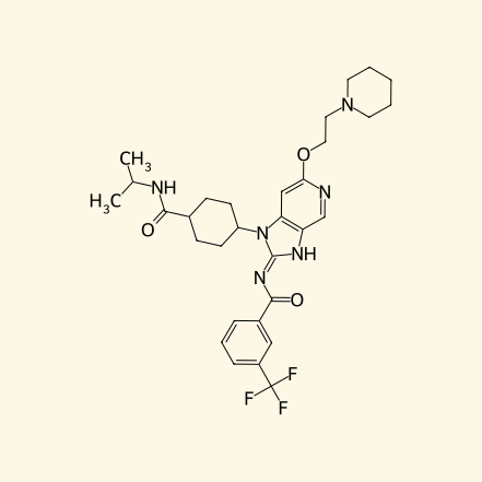 CC(C)NC(=O)C1CCC(n2/c(=N/C(=O)c3cccc(C(F)(F)F)c3)[nH]c3cnc(OCCN4CCCCC4)cc32)CC1